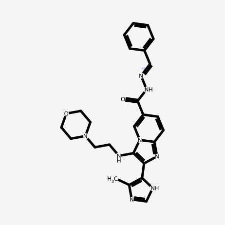 Cc1nc[nH]c1-c1nc2ccc(C(=O)N/N=C/c3ccccc3)cn2c1NCCN1CCOCC1